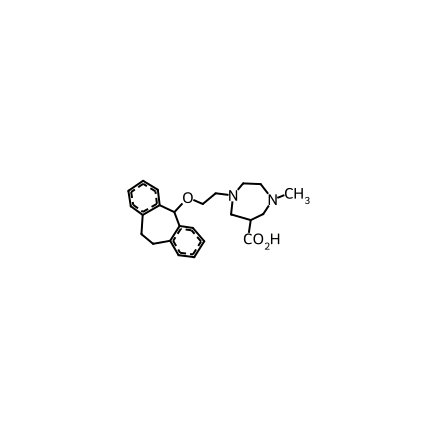 CN1CCN(CCOC2c3ccccc3CCc3ccccc32)CC(C(=O)O)C1